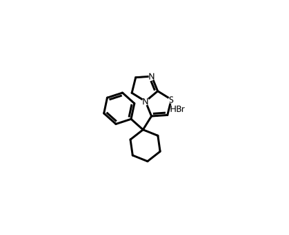 Br.C1=C(C2(c3ccccc3)CCCCC2)N2CCN=C2S1